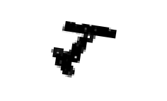 COc1ccc(N2CCN(C(=O)C[C@@H](OC(=O)N3CCCCC3)c3ccccc3)CC2)cc1OC